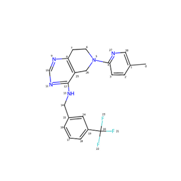 Cc1ccc(N2CCc3ncnc(NCc4cccc(C(F)(F)F)c4)c3C2)nc1